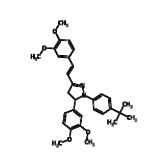 COc1ccc(C=CC2=NN(c3ccc(C(C)(C)C)cc3)C(c3ccc(OC)c(OC)c3)C2)cc1OC